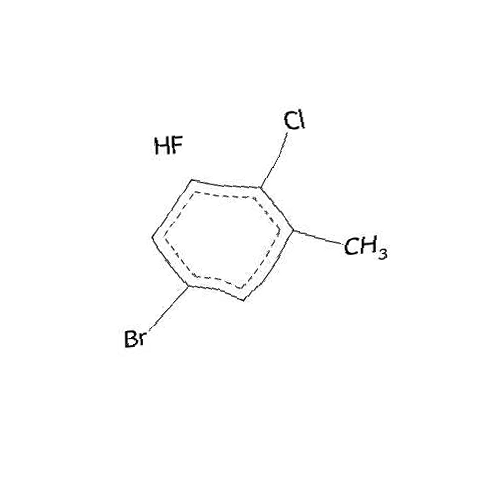 Cc1cc(Br)ccc1Cl.F